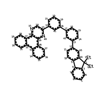 CCC1(CC)c2ccccc2-c2ccc(-c3cccc(-c4cccc(-c5cnc6c7ccccc7c7ccccc7c6n5)c4)c3)cc21